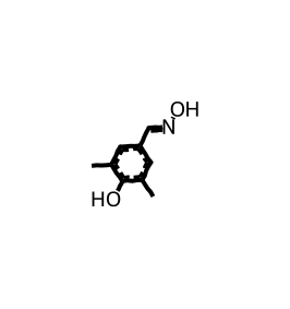 Cc1cc(C=NO)cc(C)c1O